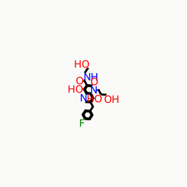 O=C(NCCO)c1c(O)c2ncc(Cc3ccc(F)cc3)cc2n(CC(O)CO)c1=O